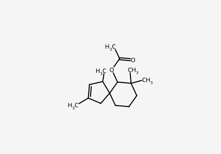 CC(=O)OC1C(C)(C)CCCC12CC(C)=CC2C